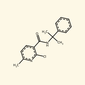 Cc1ccc(C(=O)NC(C)(C)c2ccccc2)c(Cl)n1